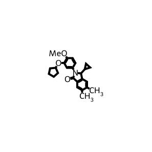 COc1ccc(N2C(=O)c3cc(C)c(C)cc3C2C2CC2)cc1OC1CCCC1